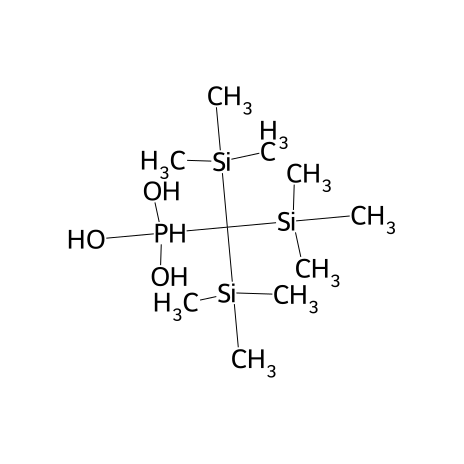 C[Si](C)(C)C([Si](C)(C)C)([Si](C)(C)C)[PH](O)(O)O